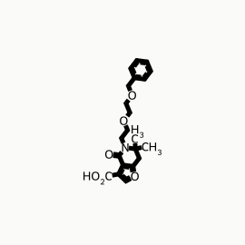 CC1(C)Cc2occ(C(=O)O)c2C(=O)N1CCOCCOCc1ccccc1